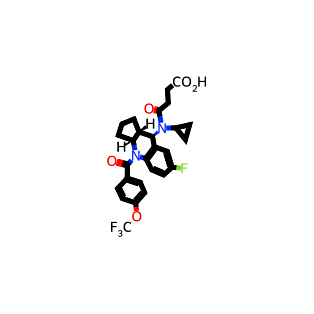 O=C(O)CCC(=O)N(C1CC1)[C@H]1c2cc(F)ccc2N(C(=O)c2ccc(OC(F)(F)F)cc2)[C@H]2CCC[C@@H]21